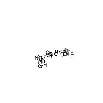 CC(C)(C)OC(=O)NCCOCCOCC(=O)NCc1ccc2c(c1)c1cccnc1n2C1CCC(=O)NC1=O